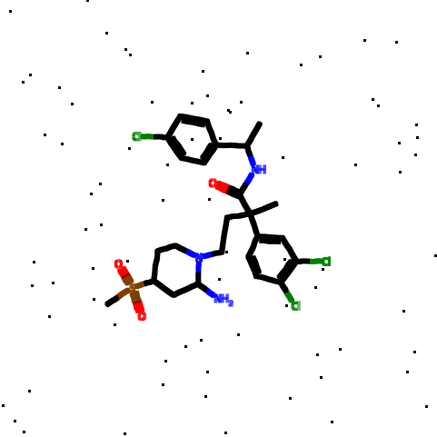 CC(NC(=O)C(C)(CCN1CCC(S(C)(=O)=O)CC1N)c1ccc(Cl)c(Cl)c1)c1ccc(Cl)cc1